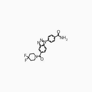 NC(=O)c1ccc(-n2nnc3cc(C(=O)N4CCC(F)(F)CC4)ccc32)cc1